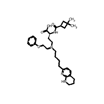 CC1(C)CC(C(=O)N[C@@H](CCN(CCCCc2ccc3c(n2)NCCC3)CCOc2ccccc2)C(=O)O)C1